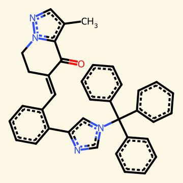 Cc1cnn2c1C(=O)/C(=C/c1ccccc1-c1cn(C(c3ccccc3)(c3ccccc3)c3ccccc3)cn1)CC2